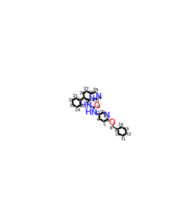 O=C(Nc1ccc(OCc2ccccc2)nc1)Nc1c(-c2ccccc2)ccc2cncn12